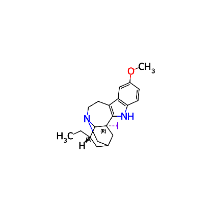 CC[C@H]1CC2CN3CCc4c([nH]c5ccc(OC)cc45)[C@@](I)(C2)C13